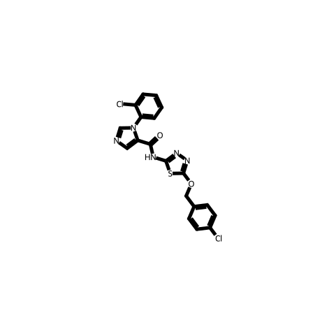 O=C(Nc1nnc(OCc2ccc(Cl)cc2)s1)c1cncn1-c1ccccc1Cl